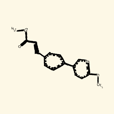 COC(=O)/C=C/c1ccc(-c2ccc(OC)nc2)cc1